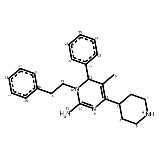 CC1=C(C2CCNCC2)N=C(N)N(CCc2ccccc2)C1c1ccccc1